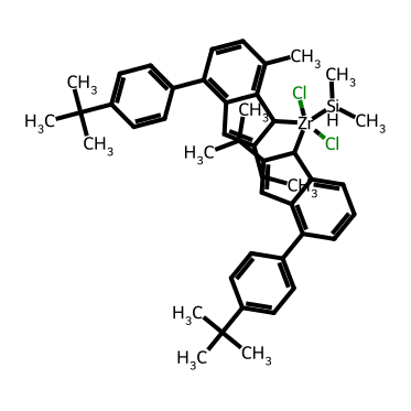 CCC1=Cc2c(-c3ccc(C(C)(C)C)cc3)ccc(C)c2[CH]1[Zr]([Cl])([Cl])([CH]1C(C(C)C)=Cc2c(-c3ccc(C(C)(C)C)cc3)cccc21)[SiH](C)C